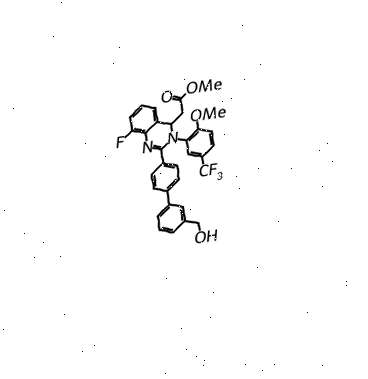 COC(=O)CC1c2cccc(F)c2N=C(c2ccc(-c3cccc(CO)c3)cc2)N1c1cc(C(F)(F)F)ccc1OC